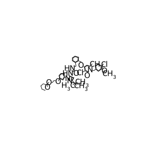 COc1cc(Cn2c(C)cc(OCc3ccccc3CNC(=O)Nc3cc(C(C)(C)C)nn3-c3cccc(OCCOC4CCCCO4)c3)c(Cl)c2=O)ccc1Cl